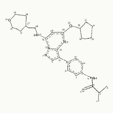 CC(C)C(=O)Nc1ccc(-c2cnn3c(NCC4CCOCC4)cc(OC4CCCC4)nc23)cc1